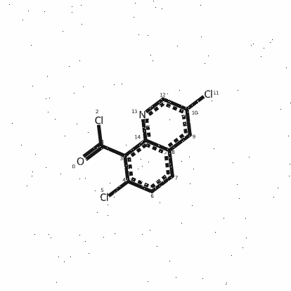 O=C(Cl)c1c(Cl)ccc2cc(Cl)cnc12